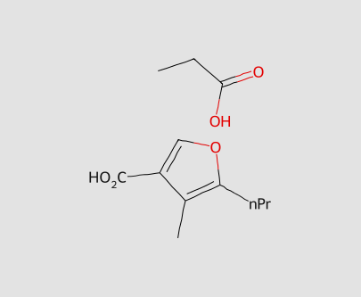 CCC(=O)O.CCCc1occ(C(=O)O)c1C